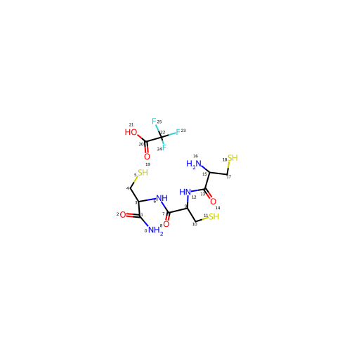 NC(=O)C(CS)NC(=O)C(CS)NC(=O)C(N)CS.O=C(O)C(F)(F)F